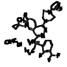 C[C@@H](Nc1nnc(N2CCN(C)CC2)c2cc(=O)n(C3(C)CC3)cc12)c1cccc(C(F)F)c1F.O=CO